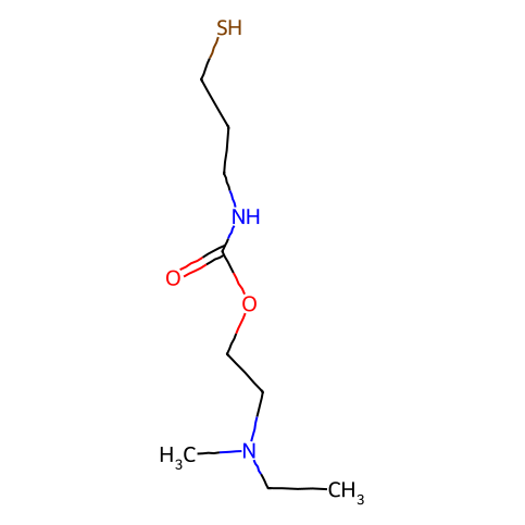 CCN(C)CCOC(=O)NCCCS